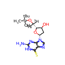 [2H]C([2H])(O[Si](C)(C)C(C)(C)C)[C@H]1O[C@@H](n2cnc3c(=S)[nH]c(N)nc32)C[C@@H]1O